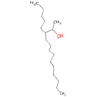 CCCCCCCCCCC(CCCCC)C(C)O